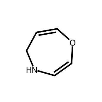 [C]1=CCNC=CO1